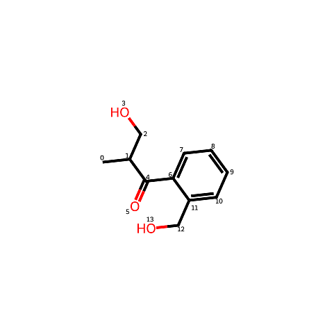 CC(CO)C(=O)c1ccccc1CO